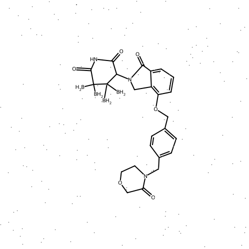 BC1(B)C(=O)NC(=O)C(N2Cc3c(OCc4ccc(CN5CCOCC5=O)cc4)cccc3C2=O)C1(B)B